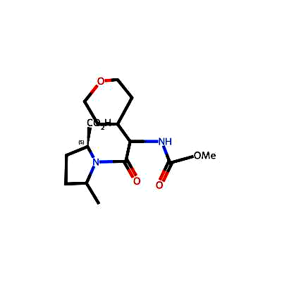 COC(=O)NC(C(=O)N1C(C)CC[C@H]1C(=O)O)C1CCOCC1